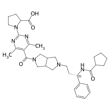 Cc1nc(N2CCCC2C(=O)O)nc(C)c1C(=O)N1CC2CN(CC[C@H](NC(=O)C3CCCC3)c3ccccc3)CC2C1